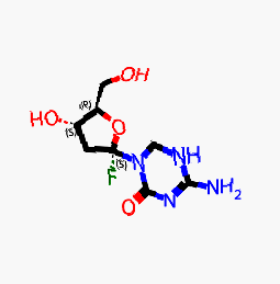 NC1=NC(=O)N([C@@]2(F)C[C@H](O)[C@@H](CO)O2)CN1